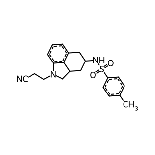 Cc1ccc(S(=O)(=O)NC2Cc3cccc4c3C(C2)CN4CCC#N)cc1